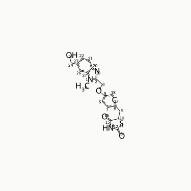 Cn1c(COc2ccc(CC3SC(=O)NC3=O)cc2)nc2ccc(CO)cc21